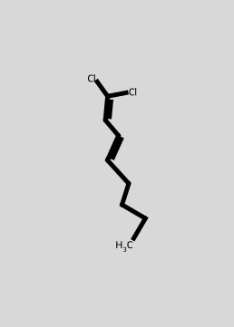 CCCC/C=C/C=C(Cl)Cl